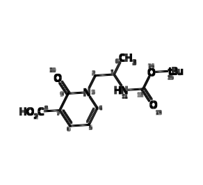 CC(Cn1cccc(C(=O)O)c1=O)NC(=O)OC(C)(C)C